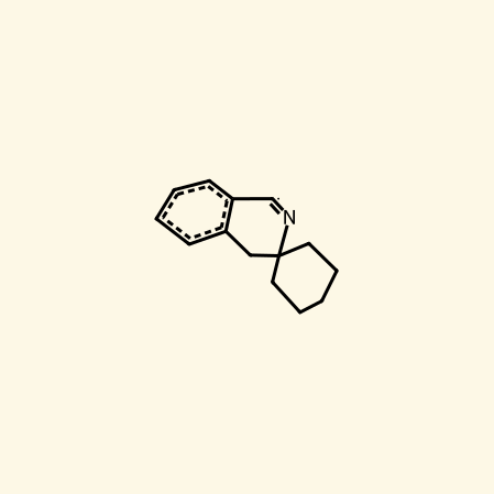 [C]1=NC2(CCCCC2)Cc2ccccc21